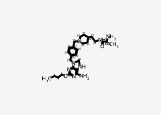 CCCCOc1nc(N)c2c(n1)N(Cc1ccc(CN3CCC(CCNC(=O)[C@@H](C)N)CC3)cc1)CN2